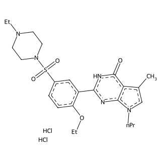 CCCn1cc(C)c2c(=O)[nH]c(-c3cc(S(=O)(=O)N4CCN(CC)CC4)ccc3OCC)nc21.Cl.Cl